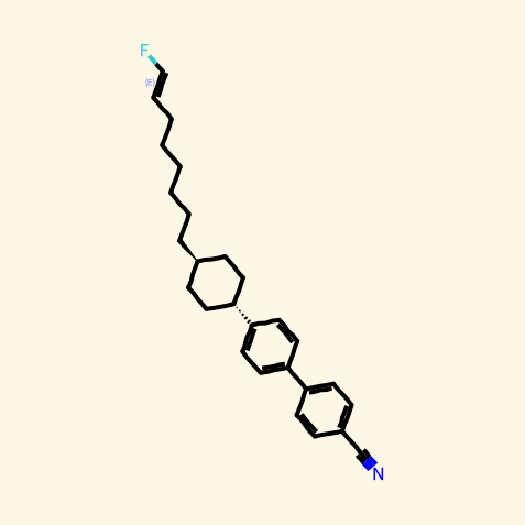 N#Cc1ccc(-c2ccc([C@H]3CC[C@H](CCCCCC/C=C/F)CC3)cc2)cc1